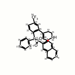 O=S(=O)(c1ccc2cnccc2c1)N(c1ccncn1)c1ccc(C(F)(F)F)cc1C1=CCNCC1